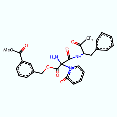 COC(=O)c1cccc(COC(=O)C(N)(C(=O)NC(Cc2ccccc2)C(=O)C(F)(F)F)n2ccccc2=O)c1